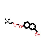 C[Si](C)(C)CCOCOc1ccc2ccc(CO)cc2c1